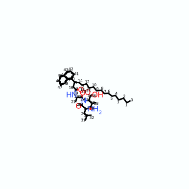 CCCCCCCCCCCCCCCC(CC(=O)NC(C)C(=O)N(C(=O)C(N)CC(C)C)C(C(=O)O)C(C)C)c1cccc2ccccc12